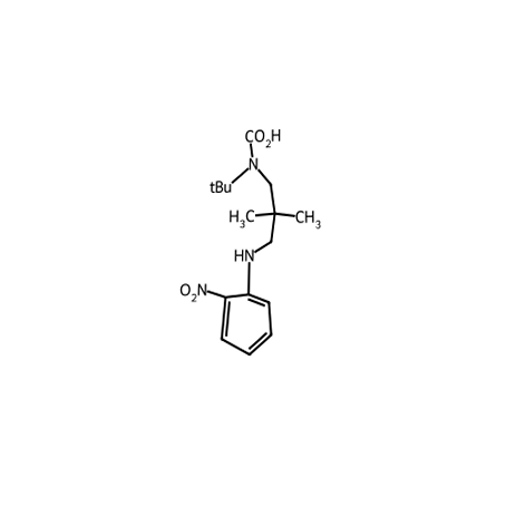 CC(C)(CNc1ccccc1[N+](=O)[O-])CN(C(=O)O)C(C)(C)C